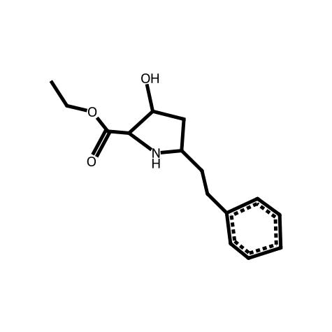 CCOC(=O)C1NC(CCc2ccccc2)CC1O